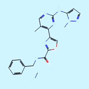 Cc1cnc(Nc2ccnn2C)nc1-c1coc(C(=O)N[C@H](CN)c2ccccc2)n1